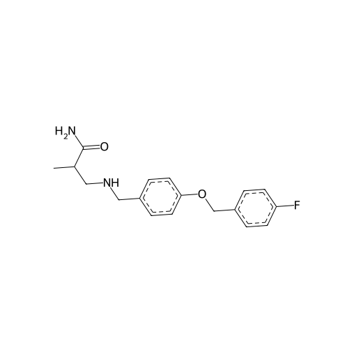 CC(CNCc1ccc(OCc2ccc(F)cc2)cc1)C(N)=O